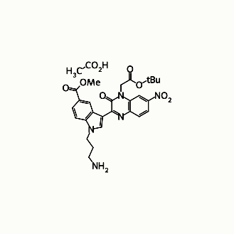 CC(=O)O.COC(=O)c1ccc2c(c1)c(-c1nc3ccc([N+](=O)[O-])cc3n(CC(=O)OC(C)(C)C)c1=O)cn2CCCN